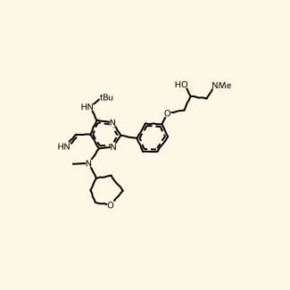 CNCC(O)COc1cccc(-c2nc(NC(C)(C)C)c(C=N)c(N(C)C3CCOCC3)n2)c1